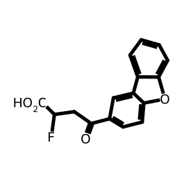 O=C(CC(F)C(=O)O)c1ccc2oc3ccccc3c2c1